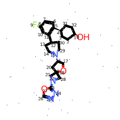 O[C@H]1CC[C@@H](c2ccc(F)cc2C2CCN([C@@H]3COC4(C3)CN(c3nnco3)C4)CC2)CC1